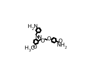 COc1ccc2c(c1)c(OCCOc1ccc(C(N)=O)cc1)nn2Cc1cccc(N)c1